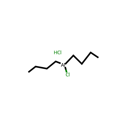 CCC[CH2][Al]([Cl])[CH2]CCC.Cl